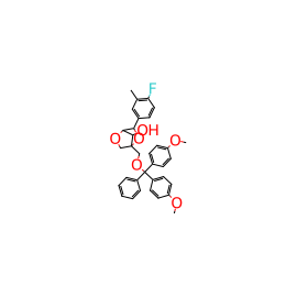 COc1ccc(C(OCC23COC(C(c4ccc(F)c(C)c4)O2)C3O)(c2ccccc2)c2ccc(OC)cc2)cc1